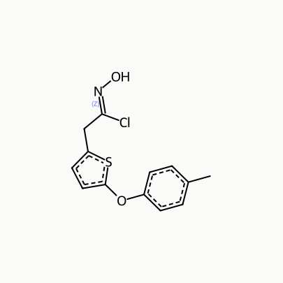 Cc1ccc(Oc2ccc(C/C(Cl)=N/O)s2)cc1